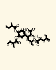 CCC(C)C(=O)Oc1ccc(C(CC(C)OC(=O)CCC(C)C)[C@H](N)C(=O)O)cc1OC(=O)C(C)CC